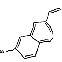 C=Cc1ccc2ccc(Br)cc2c1